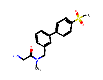 CN(Cc1cccc(-c2ccc(S(C)(=O)=O)cc2)c1)C(=O)CN